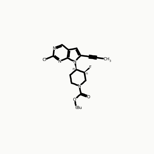 CC#Cc1cc2cnc(Cl)nc2n1[C@@H]1CCN(C(=O)OC(C)(C)C)C[C@@H]1F